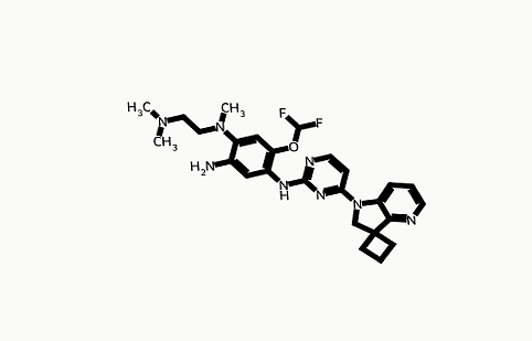 CN(C)CCN(C)c1cc(OC(F)F)c(Nc2nccc(N3CC4(CCC4)c4ncccc43)n2)cc1N